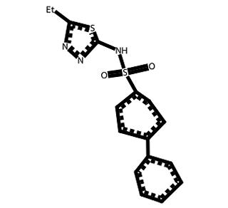 CCc1nnc(NS(=O)(=O)c2ccc(-c3ccccc3)cc2)s1